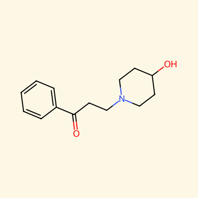 O=C(CCN1CCC(O)CC1)c1ccccc1